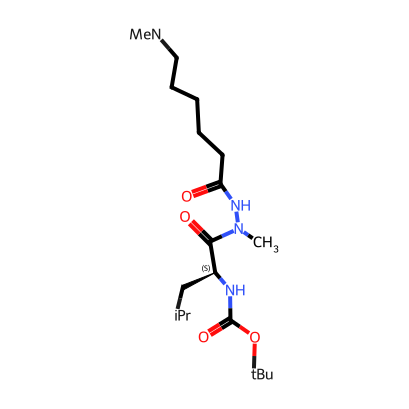 CNCCCCCC(=O)NN(C)C(=O)[C@H](CC(C)C)NC(=O)OC(C)(C)C